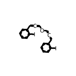 Ic1ccccc1C=C=COC=C=Cc1ccccc1I